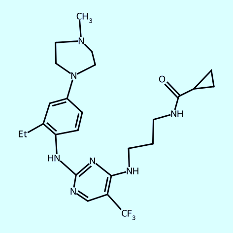 CCc1cc(N2CCN(C)CC2)ccc1Nc1ncc(C(F)(F)F)c(NCCCNC(=O)C2CC2)n1